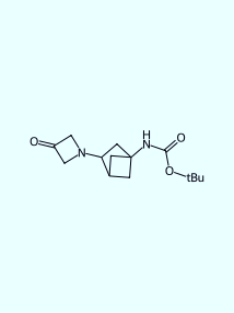 CC(C)(C)OC(=O)NC12CC(C1)C(N1CC(=O)C1)C2